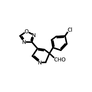 O=CC1(c2ccc(Cl)cc2)C=C(c2ncon2)C=NC1